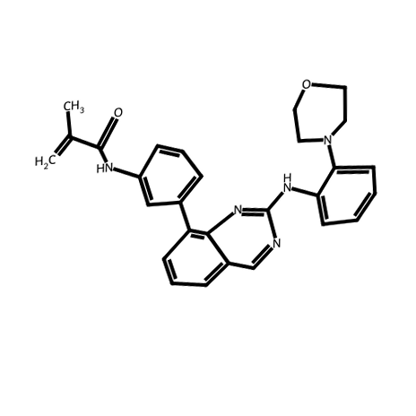 C=C(C)C(=O)Nc1cccc(-c2cccc3cnc(Nc4ccccc4N4CCOCC4)nc23)c1